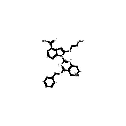 COCCOc1cc2c(C(N)=O)cccc2n1-c1nc2c(c(NCc3ccccc3)n1)CNCC2